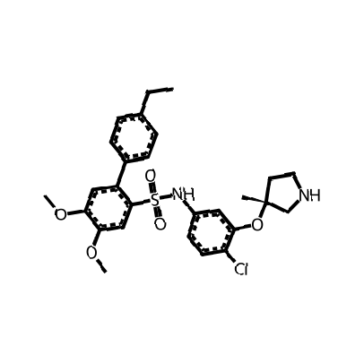 CCc1ccc(-c2cc(OC)c(OC)cc2S(=O)(=O)Nc2ccc(Cl)c(O[C@]3(C)CCNC3)c2)cc1